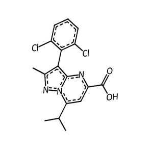 Cc1nn2c(C(C)C)cc(C(=O)O)nc2c1-c1c(Cl)cccc1Cl